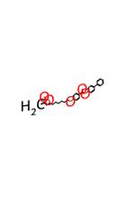 C=C1CC(CCCCCCOc2ccc(C(=O)Oc3ccc(-c4ccccc4)cc3)cc2)OC1=O